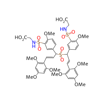 COc1cc(OC)c(C=CC(c2ccc(OC)c(S(=O)(=O)NCC(=O)O)c2)S(=O)(=O)C(C=Cc2c(OC)cc(OC)cc2OC)c2ccc(OC)c(S(=O)(=O)NCC(=O)O)c2)c(OC)c1